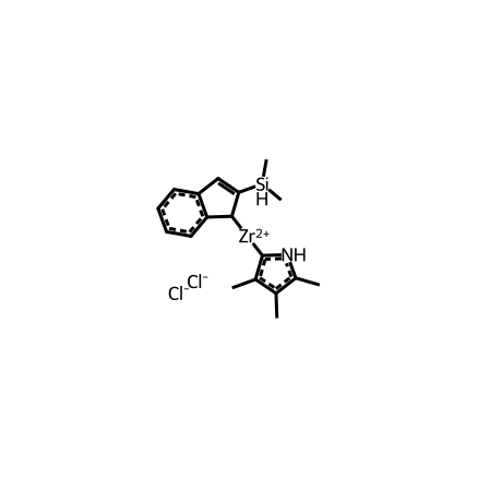 Cc1[nH][c]([Zr+2][CH]2C([SiH](C)C)=Cc3ccccc32)c(C)c1C.[Cl-].[Cl-]